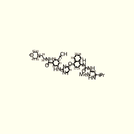 C#Cc1cc(Nc2nccc(Oc3ccc(NC(=O)N/C(=C/C(=N)C(C)C)NC)c4ccccc34)n2)cc(C(=O)NCCN2CCOCC2)c1